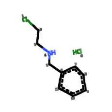 Cl.ClCCNCc1ccccc1